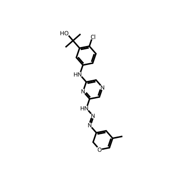 CC1=COCC(N=NNc2cncc(Nc3ccc(Cl)c(C(C)(C)O)c3)n2)=C1